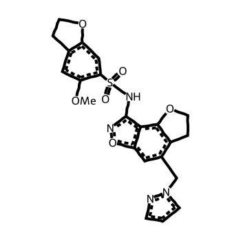 COc1cc2c(cc1S(=O)(=O)Nc1noc3cc(Cn4cccn4)c4c(c13)OCC4)OCC2